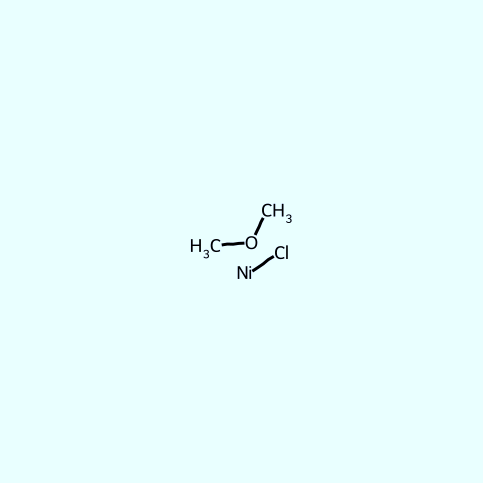 COC.[Cl][Ni]